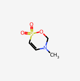 CN1C=CS(=O)(=O)OC1